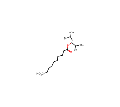 CCCCC(CC)CC(OC(=O)CCCCCCCCC(=O)O)C(CC)CCCC